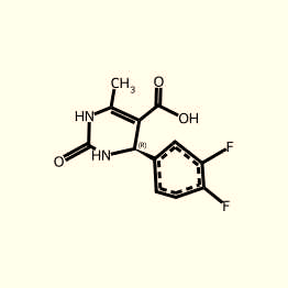 CC1=C(C(=O)O)[C@@H](c2ccc(F)c(F)c2)NC(=O)N1